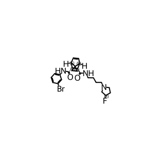 O=C(NCCCCN1CC[C@@H](F)C1)[C@H]1[C@H](C(=O)Nc2cccc(Br)c2)[C@@H]2C=C[C@H]1C21CC1